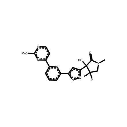 CSc1nccc(-c2cccc(-c3cc(C4(O)C(=O)N(C)CC4(F)F)on3)n2)n1